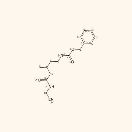 CC(CCNC(=O)OCc1ccccc1)CC(=O)NCC#N